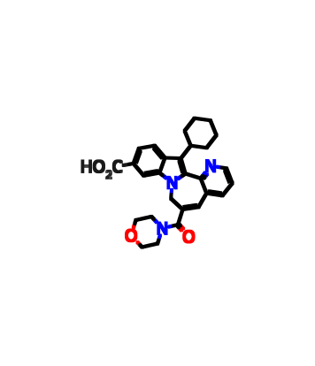 O=C(O)c1ccc2c(C3CCCCC3)c3n(c2c1)CC(C(=O)N1CCOCC1)=Cc1cccnc1-3